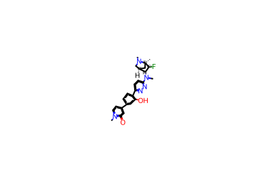 CN(c1ccc(-c2ccc(-c3ccn(C)c(=O)c3)cc2O)nn1)[C@@H]1[C@H]2CN(C)[C@](C)(C2)[C@H]1F